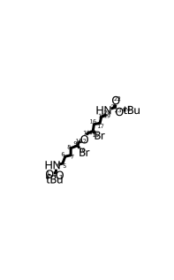 CC(C)(C)OC(=O)NCCCCC(Br)COCC(Br)CCCCNC(=O)OC(C)(C)C